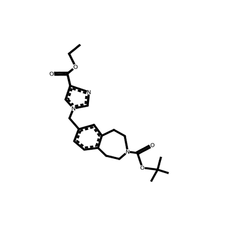 CCOC(=O)c1cn(Cc2ccc3c(c2)CCN(C(=O)OC(C)(C)C)CC3)cn1